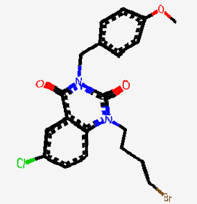 COc1ccc(Cn2c(=O)c3cc(Cl)ccc3n(CCCCBr)c2=O)cc1